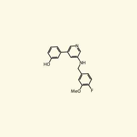 COc1cc(CNc2cncc(-c3cccc(O)c3)c2)ccc1F